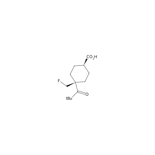 CC(C)(C)C(=O)[C@]1(CF)CC[C@@H](C(=O)O)CC1